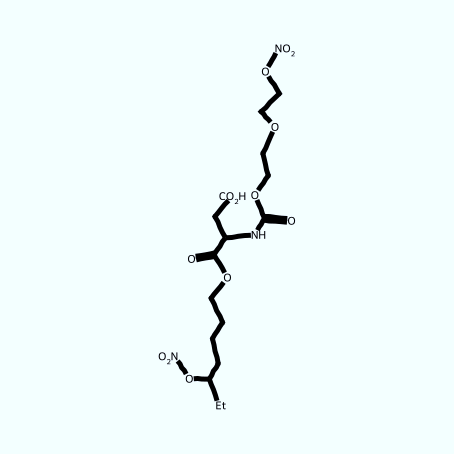 CCC(CCCCOC(=O)C(CC(=O)O)NC(=O)OCCOCCO[N+](=O)[O-])O[N+](=O)[O-]